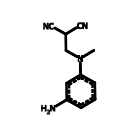 CN(CC(C#N)C#N)c1cccc(N)c1